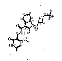 CSc1cc(C)[nH]c(=O)c1CNC(=O)c1c(C)n(C(C)C2CN(CC(F)(F)F)C2)c2ccccc12